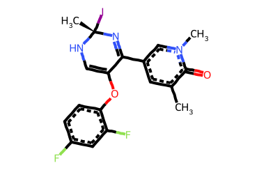 Cc1cc(C2=N[C@@](C)(I)NC=C2Oc2ccc(F)cc2F)cn(C)c1=O